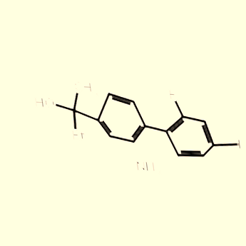 CCC(C)(O)c1ccc(-c2ccc(F)cc2F)cc1.N